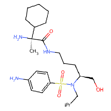 CC(C)CN([C@H](CO)CCCNC(=O)[C@@](C)(N)C1CCCCC1)S(=O)(=O)c1ccc(N)cc1